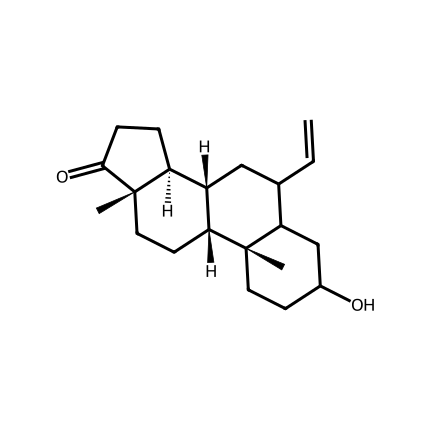 C=CC1C[C@@H]2[C@@H](CC[C@]3(C)C(=O)CC[C@@H]23)[C@@]2(C)CCC(O)CC12